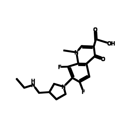 CCNCC1CCN(c2c(F)cc3c(=O)c(C(=O)O)cn(C)c3c2F)C1